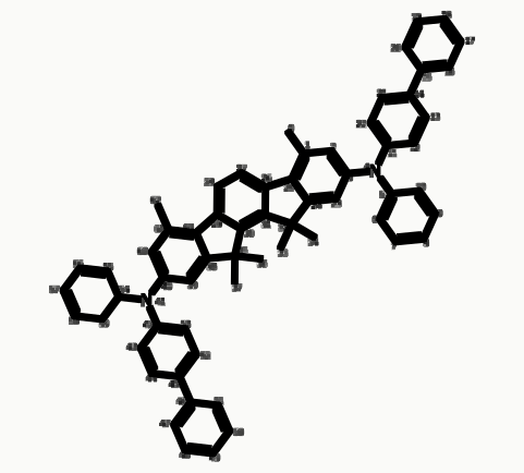 Cc1cc(N(c2ccccc2)c2ccc(-c3ccccc3)cc2)cc2c1-c1ccc3c(c1C2(C)C)C(C)(C)c1cc(N(c2ccc(-c4ccccc4)cc2)C2C=CC=CC2)cc(C)c1-3